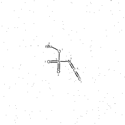 CCCCOS(=O)(=O)N=C=O